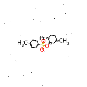 Cc1ccc(S(=O)(=O)O[C@@H]2C[C@H](C)CC[C@H]2C(C)C)cc1